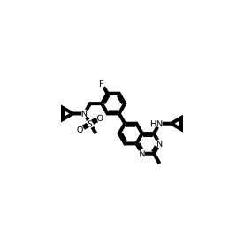 Cc1nc(NC2CC2)c2cc(-c3ccc(F)c(CN(C4CC4)S(C)(=O)=O)c3)ccc2n1